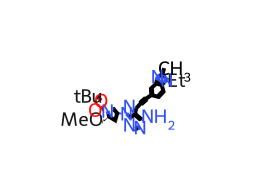 CCn1c(C)nc2cc(C#Cc3nn([C@H]4C[C@H](COC)N(C(=O)OC(C)(C)C)C4)c4ncnc(N)c34)ccc21